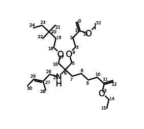 C=C(CCOCC(CCCCC(=C)OCC)(COCCC(C)(C)CC)NC/C(C)=C/C)OI